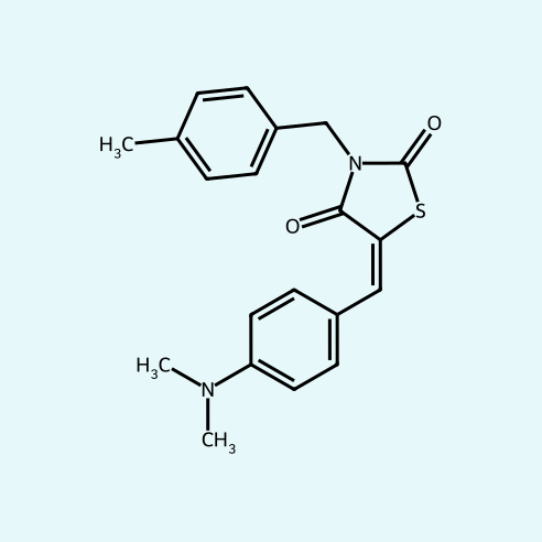 Cc1ccc(CN2C(=O)SC(=Cc3ccc(N(C)C)cc3)C2=O)cc1